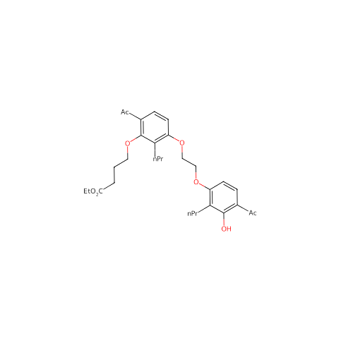 CCCc1c(OCCOc2ccc(C(C)=O)c(OCCCC(=O)OCC)c2CCC)ccc(C(C)=O)c1O